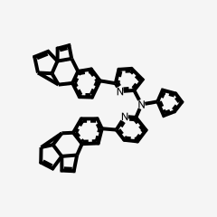 C1=CC23C=CC2c2cc(-c4cccc(N(c5ccccc5)c5cccc(-c6ccc7c(c6)C6C=CC68C=CC6C7C68)n5)n4)ccc2C2C1C23